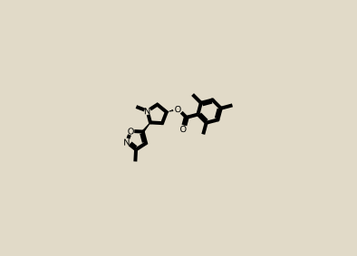 Cc1cc(C)c(C(=O)O[C@@H]2C[C@@H](c3cc(C)no3)N(C)C2)c(C)c1